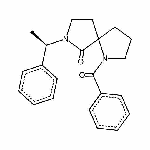 C[C@H](c1ccccc1)N1CCC2(CCCN2C(=O)c2ccccc2)C1=O